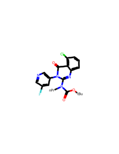 CCCN(C(=O)OC(C)(C)C)c1nc2cccc(Cl)c2c(=O)n1-c1cncc(F)c1